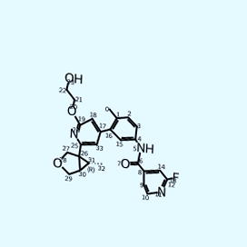 Cc1ccc(NC(=O)c2ccnc(F)c2)cc1-c1cc(OCCO)nc(C23COCC2[C@H]3C)c1